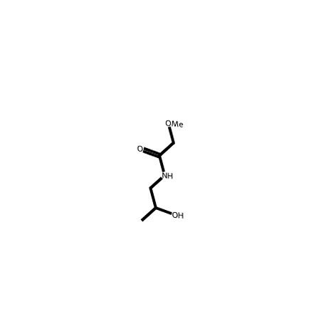 COCC(=O)NCC(C)O